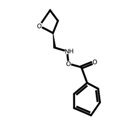 O=C(ONC[C@@H]1CCO1)c1ccccc1